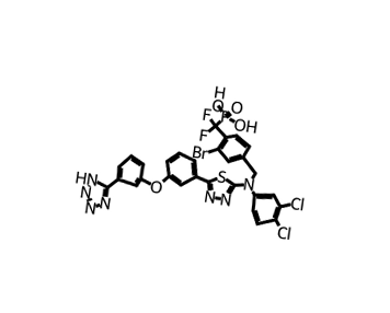 O=P(O)(O)C(F)(F)c1ccc(CN(c2ccc(Cl)c(Cl)c2)c2nnc(-c3cccc(Oc4cccc(-c5nnn[nH]5)c4)c3)s2)cc1Br